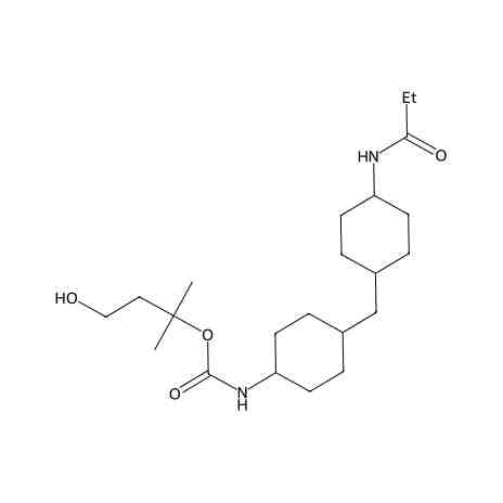 CCC(=O)NC1CCC(CC2CCC(NC(=O)OC(C)(C)CCO)CC2)CC1